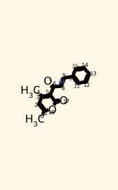 Cc1cc(C)c(C(=O)/C=C/c2ccccc2)c(=O)o1